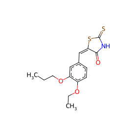 CCCOc1cc(C=C2SC(=S)NC2=O)ccc1OCC